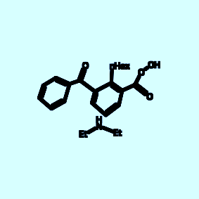 CCCCCCc1c(C(=O)OO)cccc1C(=O)c1ccccc1.CCNCC